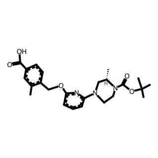 Cc1cc(C(=O)O)ccc1COc1cccc(N2CCN(C(=O)OC(C)(C)C)[C@@H](C)C2)n1